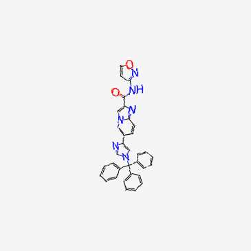 O=C(Nc1ccon1)c1cn2cc(-c3cn(C(c4ccccc4)(c4ccccc4)c4ccccc4)cn3)ccc2n1